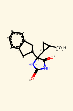 O=C1NC(=O)C(C2Cc3ccccc3C2)(C2CC2C(=O)O)N1